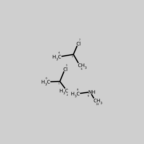 CC(C)Cl.CC(C)Cl.CNC